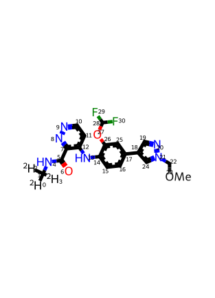 [2H]C([2H])([2H])NC(=O)c1nnccc1Nc1ccc(-c2cnn(COC)c2)cc1OC(F)F